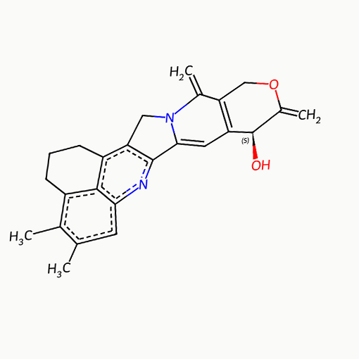 C=C1OCC2=C(C=C3c4nc5cc(C)c(C)c6c5c(c4CN3C2=C)CCC6)[C@@H]1O